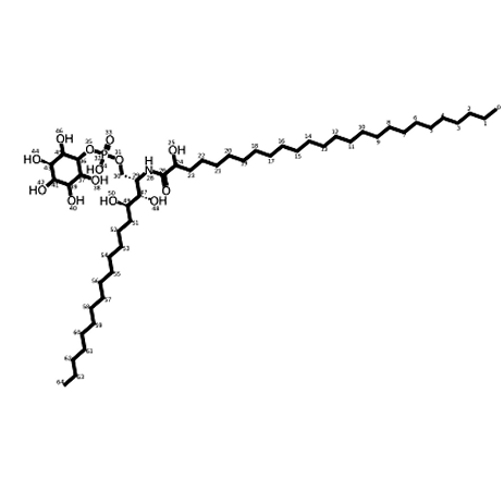 CCCCCCCCCCCCCCCCCCCCCCCCC(O)C(=O)N[C@@H](COP(=O)(O)OC1C(O)C(O)C(O)[C@@H](O)C1O)[C@H](O)[C@H](O)CCCCCCCCCCCCCC